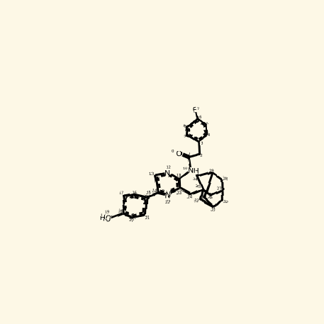 O=C(Cc1ccc(F)cc1)Nc1ncc(-c2ccc(O)cc2)nc1CC12CC3CC(CC(C3)C1)C2